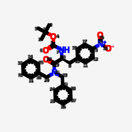 CC(C)(C)OC(=O)N[C@@H](Cc1ccc([N+](=O)[O-])cc1)C(=O)N(Cc1ccccc1)Cc1ccccc1